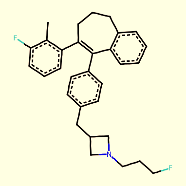 Cc1c(F)cccc1C1=C(c2ccc(CC3CN(CCCF)C3)cc2)c2ccccc2CCC1